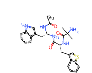 CC(C)(C)C(=O)N[C@@H](Cc1c[nH]c2ccccc12)NC(=O)[C@@H](Cc1csc2ccccc12)NC(=O)C(C)(C)N